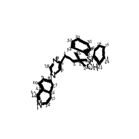 CC(C)(CCc1cn(-c2ccc3cnccc3c2)cn1)[Si](O)(c1ccccc1)c1ccccc1